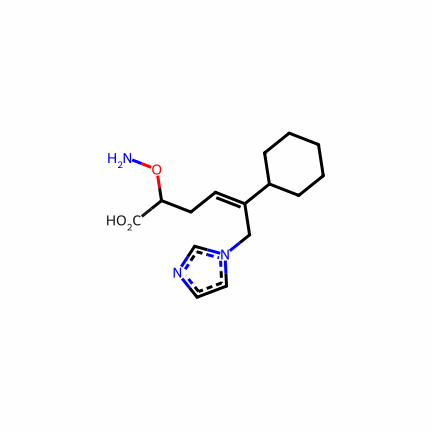 NOC(CC=C(Cn1ccnc1)C1CCCCC1)C(=O)O